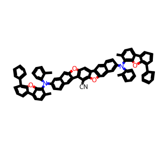 Cc1ccccc1N(c1ccc2cc3c(cc2c1)oc1c(C#N)c2c(cc13)oc1cc3cc(N(c4ccccc4C)c4c(C)ccc5c4oc4c(-c6ccccc6)cccc45)ccc3cc12)c1c(C)ccc2c1oc1c(-c3ccccc3)cccc12